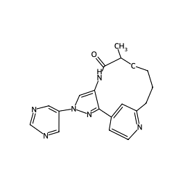 CC1CCCCc2cc(ccn2)-c2nn(-c3cncnc3)cc2NC1=O